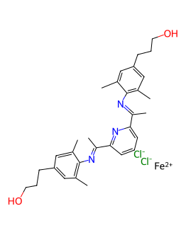 CC(=Nc1c(C)cc(CCCO)cc1C)c1cccc(C(C)=Nc2c(C)cc(CCCO)cc2C)n1.[Cl-].[Cl-].[Fe+2]